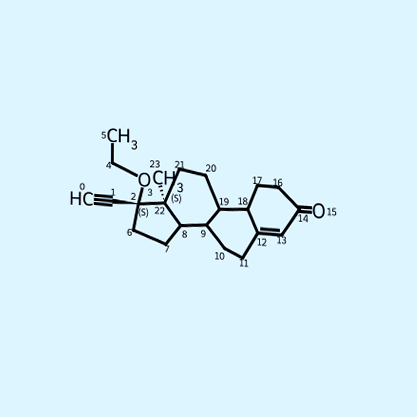 C#C[C@]1(OCC)CCC2C3CCC4=CC(=O)CCC4C3CC[C@@]21C